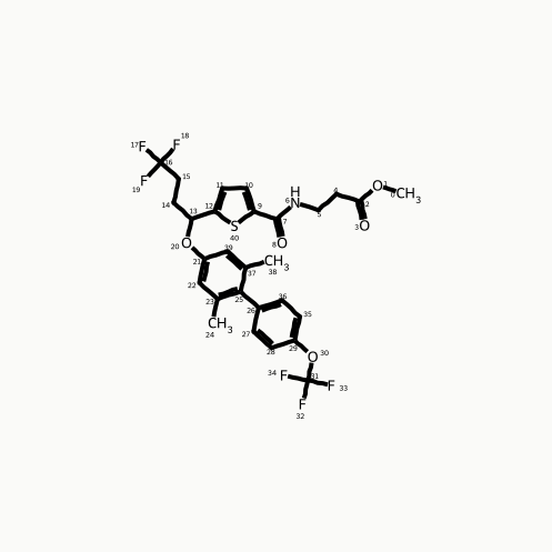 COC(=O)CCNC(=O)c1ccc(C(CCC(F)(F)F)Oc2cc(C)c(-c3ccc(OC(F)(F)F)cc3)c(C)c2)s1